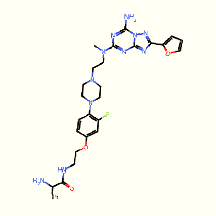 CC(C)C(N)C(=O)NCCOc1ccc(N2CCN(CCN(C)c3nc(N)n4nc(-c5ccco5)nc4n3)CC2)c(F)c1